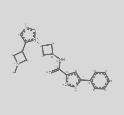 CN1CC(c2cnnn2[C@H]2C[C@H](NC(=O)c3cc(-c4ccccc4)no3)C2)C1